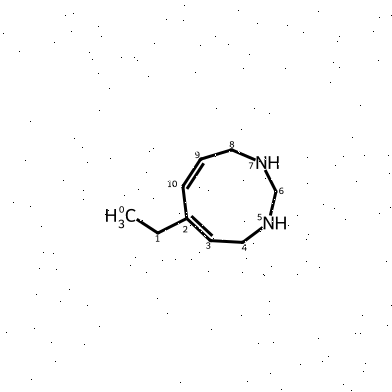 CCC1=C/CNCNC/C=C\1